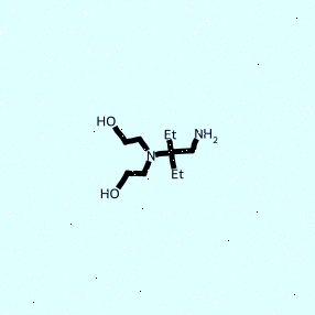 CCC(CC)(CN)N(CCO)CCO